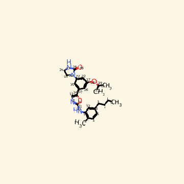 CCCCc1ccc(C)c(Nc2ncc(-c3cc(OC(C)C)cc(N4CCNC4=O)c3)o2)c1